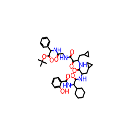 CC(C)(C)OC(=O)C(NC(=O)CNC(=O)C(=O)C(CC1CC1)NC(=O)C(CC1CC1)NC(=O)C(NC(=O)c1ccccc1O)C1CCCCC1)c1ccccc1